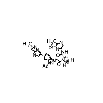 CC(=O)c1nn(CC(=O)N2[C@@H]3C[C@@H]3C[C@H]2C(=O)Nc2cnc(C)c(Br)n2)c2ccc(-c3cnc4cc(C)nn4c3)cc12